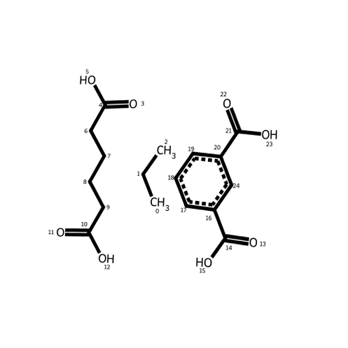 CCC.O=C(O)CCCCC(=O)O.O=C(O)c1cccc(C(=O)O)c1